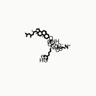 COCC(CO)CCCCNC(=O)[C@H](COP(=O)([O-])OCC[N+](C)(C)C)NC(=O)O[C@H]1CC[C@@]2(C)C(=CCC3C2CC[C@@]2(C)C3CC[C@@H]2[C@H](C)CC(C)CC(C)C)C1